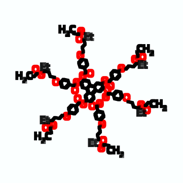 C=CC(=O)OC(CC)CCCOc1ccc(C(=O)Oc2cc3c4cc(OC(=O)c5ccc(OCCCC(CC)OC(=O)C=C)cc5)c(OC(=O)c5ccc(OCCCC(CC)OC(=O)C=C)cc5)cc4c4cc(OC(=O)c5ccc(OCCCC(CC)OC(=O)C=C)cc5)c(OC(=O)c5ccc(OCCCC(CC)OC(=O)C=C)cc5)cc4c3cc2OC(=O)c2ccc(OCCCC(CC)OC(=O)C=C)cc2)cc1